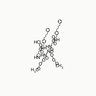 COCCOCCOCC(=O)NCCN(CC(=O)NCCC(=O)ONC(=O)Cc1ccc(CCCCc2ccccc2)cc1)C(=O)COCCOCCOC.Cl.O=C(Cc1ccc(CCCCc2ccccc2)cc1)NOC(=O)CC1CCNCC1